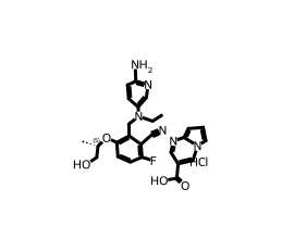 CCN(Cc1c(O[C@@H](C)CO)ccc(F)c1C#N)c1ccc(N)nc1.Cl.O=C(O)c1cnc2cccn2c1